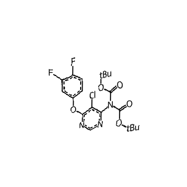 CC(C)(C)OC(=O)N(C(=O)OC(C)(C)C)c1ncnc(Oc2ccc(F)c(F)c2)c1Cl